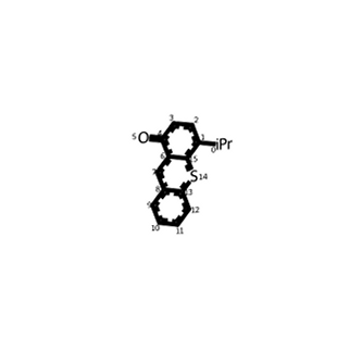 CC(C)c1ccc(=O)c2cc3ccccc3sc1-2